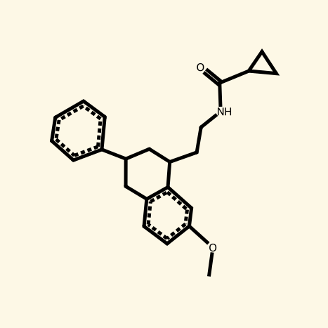 COc1ccc2c(c1)C(CCNC(=O)C1CC1)CC(c1ccccc1)C2